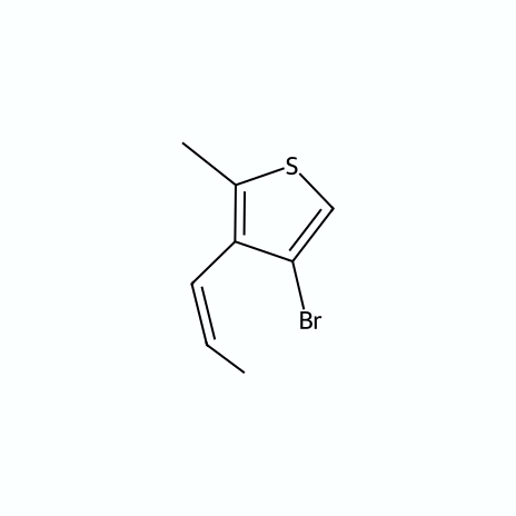 C/C=C\c1c(Br)csc1C